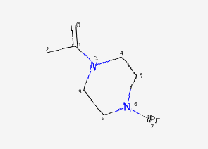 C=C(C)N1CCN(C(C)C)CC1